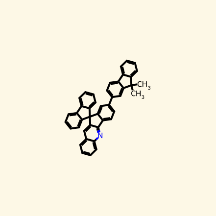 CC1(C)c2ccccc2-c2ccc(-c3ccc4c(c3)C3(c5ccccc5-c5ccccc53)c3cc5ccccc5nc3-4)cc21